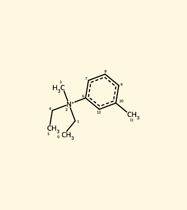 CC[N+](C)(CC)c1cccc(C)c1